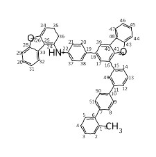 Cc1ccccc1-c1ccc(-c2cccc(-c3cc(-c4ccc(NC5=c6c(oc7ccccc67)=CCC5)cc4)cc4c3oc3ccccc34)c2)cc1